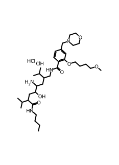 CCCCNC(=O)C(CC(O)C(N)CC(CNC(=O)c1ccc(CN2CCOCC2)cc1OCCCCOC)C(C)C)C(C)C.Cl.Cl